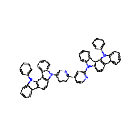 c1ccc(-n2c3ccccc3c3ccc4c(c5ccccc5n4-c4ccc(-c5ccnc(-n6c7ccccc7c7c6ccc6c8ccccc8n(-c8ccccc8)c67)c5)nc4)c32)cc1